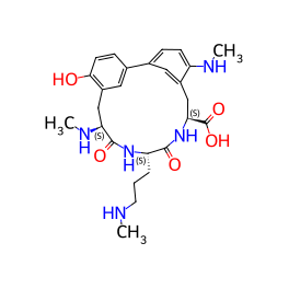 CNCCC[C@@H]1NC(=O)[C@@H](NC)Cc2cc(ccc2O)-c2ccc(NC)c(c2)C[C@@H](C(=O)O)NC1=O